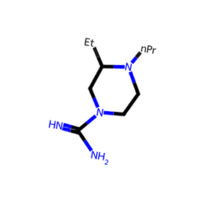 CCCN1CCN(C(=N)N)CC1CC